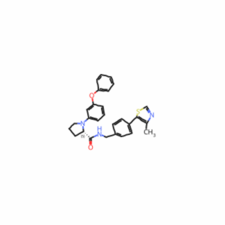 Cc1ncsc1-c1ccc(CNC(=O)[C@@H]2CCCN2c2cccc(Oc3ccccc3)c2)cc1